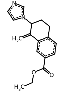 C=C1c2cc(C(=O)OCC)ccc2CCC1n1ccnc1